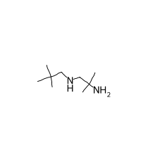 CC(C)(C)CNCC(C)(C)N